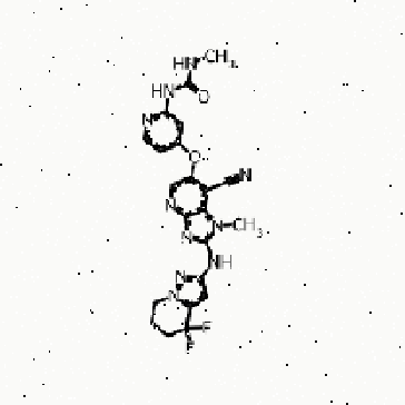 CNC(=O)Nc1cc(Oc2cnc3nc(Nc4cc5n(n4)CCCC5(F)F)n(C)c3c2C#N)ccn1